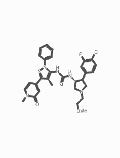 COCCN1CC(c2ccc(Cl)c(F)c2)[C@H](NC(=O)Nc2c(C)c(-c3ccn(C)c(=O)c3)nn2-c2ccccc2)C1